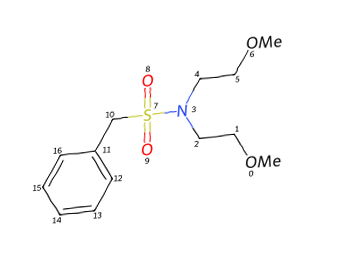 COCCN(CCOC)S(=O)(=O)Cc1ccccc1